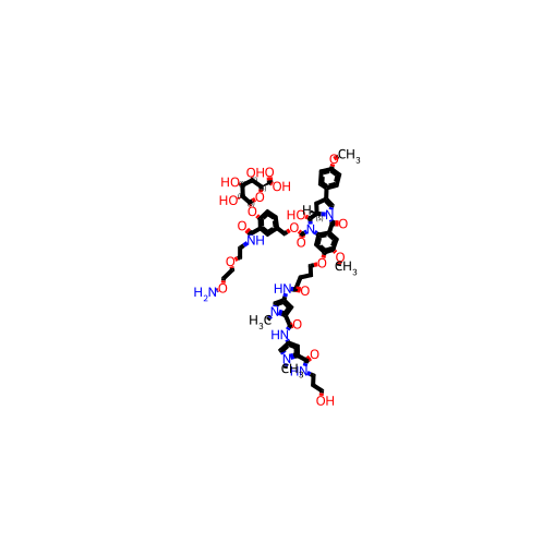 COc1ccc(C2=CN3C(=O)c4cc(OC)c(OCCCC(=O)Nc5cc(C(=O)Nc6cc(C(=O)NCCCO)n(C)c6)n(C)c5)cc4N(C(=O)OCc4ccc(O[C@@H]5O[C@H](C(=O)O)[C@@H](O)[C@H](O)[C@H]5O)c(C(=O)NCCOCCON)c4)C(O)[C@@H]3C2)cc1